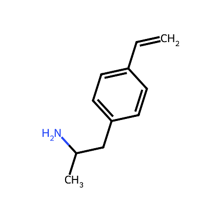 C=Cc1ccc(CC(C)N)cc1